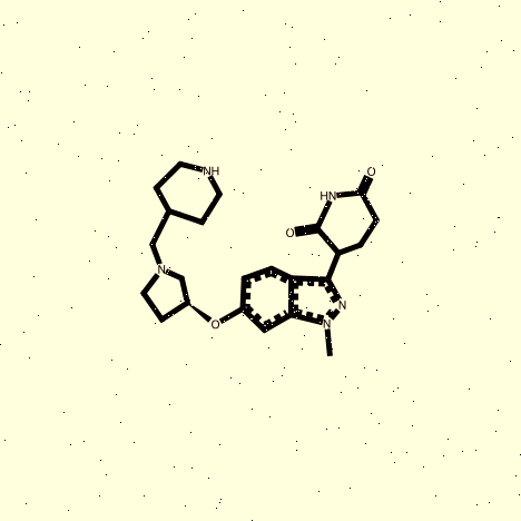 Cn1nc(C2CCC(=O)NC2=O)c2ccc(O[C@H]3CCN(CC4CCNCC4)C3)cc21